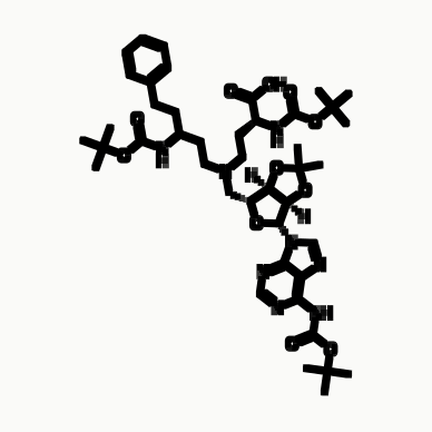 CC(C)(C)OC(=O)Nc1ncnc2c1ncn2[C@@H]1O[C@H](CN(CCC(CCc2ccccc2)NC(=O)OC(C)(C)C)CC[C@H](NC(=O)OC(C)(C)C)C(=O)O)[C@H]2OC(C)(C)O[C@H]21